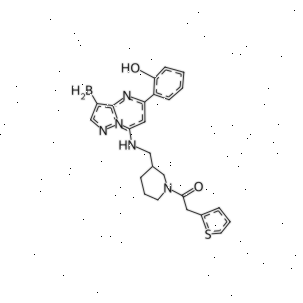 Bc1cnn2c(NCC3CCCN(C(=O)Cc4cccs4)C3)cc(-c3ccccc3O)nc12